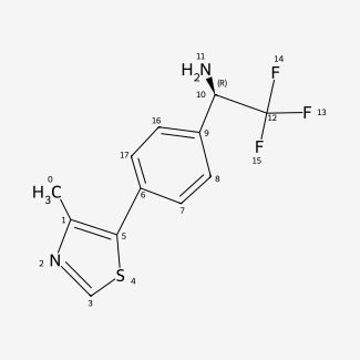 Cc1ncsc1-c1ccc([C@@H](N)C(F)(F)F)cc1